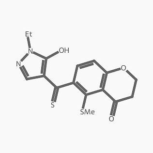 CCn1ncc(C(=S)c2ccc3c(c2SC)C(=O)CCO3)c1O